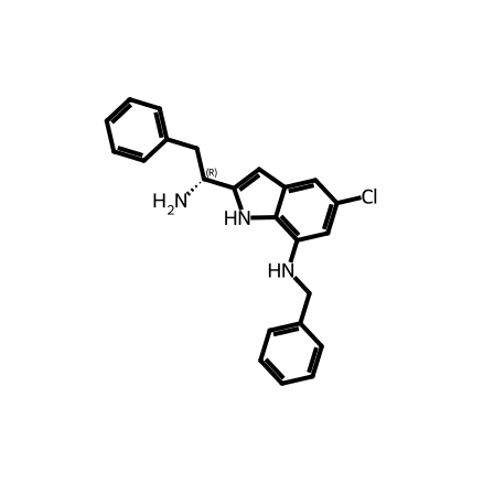 N[C@H](Cc1ccccc1)c1cc2cc(Cl)cc(NCc3ccccc3)c2[nH]1